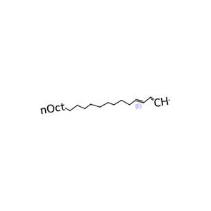 [CH]=C/C=C/CCCCCCCCCCCCCCCCC